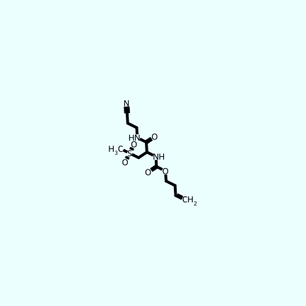 C=CCCOC(=O)NC(CS(C)(=O)=O)C(=O)NCCC#N